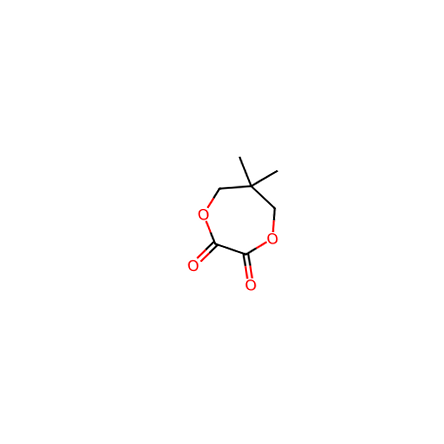 CC1(C)COC(=O)C(=O)OC1